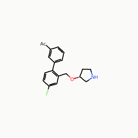 CC(=O)c1cccc(-c2ccc(F)cc2CO[C@H]2CCNC2)c1